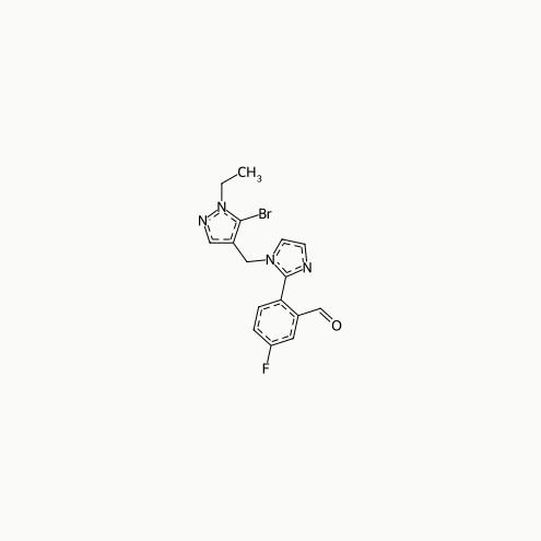 CCn1ncc(Cn2ccnc2-c2ccc(F)cc2C=O)c1Br